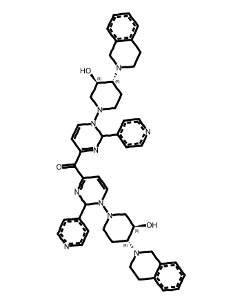 O=C(C1=NC(c2ccncc2)N(N2CC[C@@H](N3CCc4ccccc4C3)[C@H](O)C2)C=C1)C1=NC(c2ccncc2)N(N2CC[C@@H](N3CCc4ccccc4C3)[C@H](O)C2)C=C1